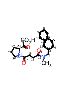 CN(Cc1ccc2ccccc2c1)C(=O)CCC(=O)N1CCC[C@H]1C(=O)C(=O)O